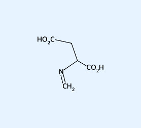 C=NC(CC(=O)O)C(=O)O